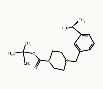 C[C@H](N)c1cccc(CN2CCN(C(=O)OC(C)(C)C)CC2)c1